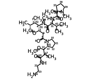 CC[C@H](C)[C@@H](C(CC(=O)N1CCC[C@H]1C(OC)[C@@H](C)C(=O)NCCN)OC)N(C)C(=O)[C@@H](NC(=O)[C@]1(C)CCCN1C)C(C)C